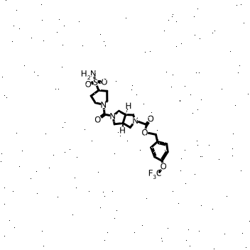 NS(=O)(=O)C1CCN(C(=O)N2C[C@H]3CN(C(=O)OCc4ccc(OC(F)(F)F)cc4)C[C@@H]3C2)CC1